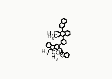 C/C=c1/c(C2=CC(c3cc4c(c(C)c3/C=C3\CSc5ccccc53)C(C)(C)c3ccccc3-4)=CCC2)c2ccccc2c(-c2ccc3ccccc3c2)/c1=C/C